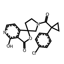 O=C1OC2(CCN(C(=O)C3(c4ccc(Cl)cc4)CC3)C2)c2ccnc(O)c21